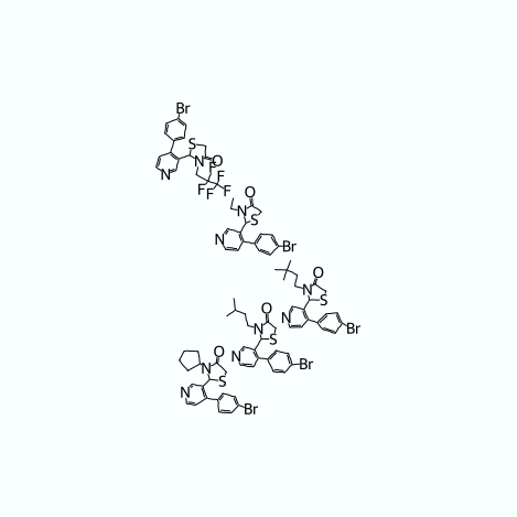 CC(C)(C)CCN1C(=O)CSC1c1cnccc1-c1ccc(Br)cc1.CC(C)CCN1C(=O)CSC1c1cnccc1-c1ccc(Br)cc1.CCN1C(=O)CSC1c1cnccc1-c1ccc(Br)cc1.O=C1CSC(c2cnccc2-c2ccc(Br)cc2)N1C1CCCC1.O=C1CSC(c2cnccc2-c2ccc(Br)cc2)N1CC(F)(F)C(F)(F)F